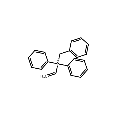 C=C[PH](Cc1ccccc1)(c1ccccc1)c1ccccc1